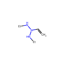 C=CN(NCC)NCC